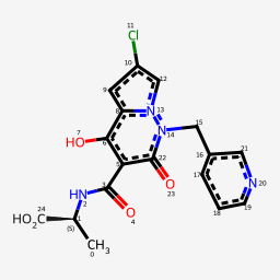 C[C@H](NC(=O)c1c(O)c2cc(Cl)cn2n(Cc2cccnc2)c1=O)C(=O)O